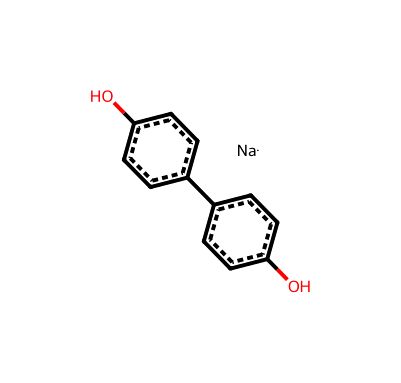 Oc1ccc(-c2ccc(O)cc2)cc1.[Na]